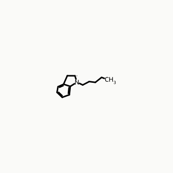 CCCCCN1[CH]Cc2ccccc21